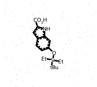 CC[Si](CC)(Oc1ccc2cc(C(=O)O)[nH]c2c1)C(C)(C)C